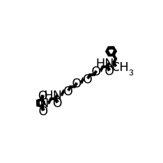 CC(Cc1ccccc1)NC(=O)CCOCCOCCOCCOCCNC(=O)CCN1C(=O)C=CC1=O